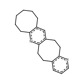 c1cnc2c(c1)CCc1nc3c(cc1CC2)CCCCCC3